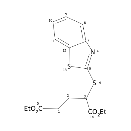 CCOC(=O)CCC(Sc1nc2ccccc2s1)C(=O)OCC